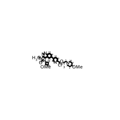 COC1CCN(CCOC(c2ccc(-c3ccc4nnc5c(c4c3)n(C3CC(OC)C3)c(=O)n5C)cn2)C(F)(F)F)CC1